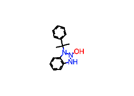 CC(C)(c1ccccc1)N1c2ccccc2NN1O